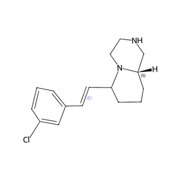 Clc1cccc(/C=C/C2CCC[C@H]3CNCCN23)c1